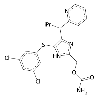 CC(C)C(c1ccccn1)c1nc(COC(N)=O)[nH]c1Sc1cc(Cl)cc(Cl)c1